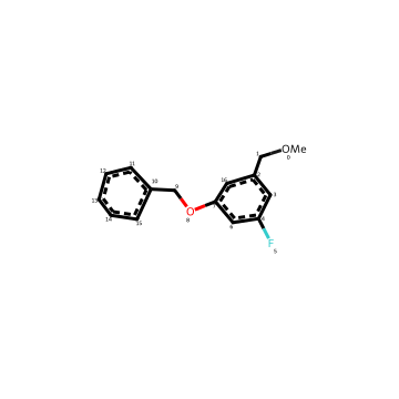 COCc1cc(F)cc(OCc2ccccc2)c1